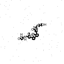 COc1nc(-c2cccc(-c3cccc(-c4cc5c(=O)n(C)c(CN6CC(C(C)(C)O)C6)nn5c4)c3Cl)c2Cl)ccc1CNC[C@@H]1CCC(=O)N1